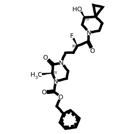 C[C@H]1C(=O)N(CC[C@@H](F)C(=O)N2CCC3(CC3)[C@H](O)C2)CCN1C(=O)OCc1ccccc1